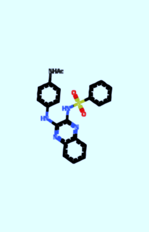 CC(=O)Nc1ccc(Nc2nc3ccccc3nc2NS(=O)(=O)c2ccccc2)cc1